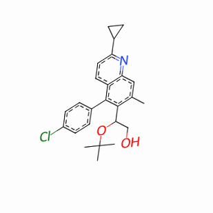 Cc1cc2nc(C3CC3)ccc2c(-c2ccc(Cl)cc2)c1C(CO)OC(C)(C)C